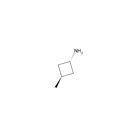 [CH2][C@H]1C[C@H](N)C1